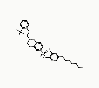 CCCCCCCc1ccc(NS(=O)(=O)c2ccc3c(c2)CCN(CCc2ccccc2C(F)(F)F)C3)c(F)c1